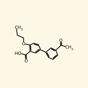 CCCOc1ccc(-c2cccc(C(C)=O)c2)cc1C(=O)O